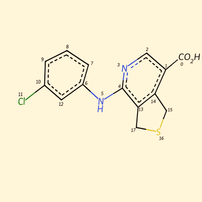 O=C(O)c1cnc(Nc2cccc(Cl)c2)c2c1CSC2